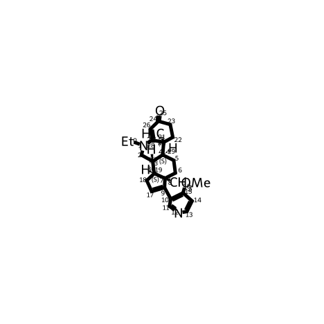 CCN1C[C@@H]2[C@H](CC[C@]3(C)C(c4cnccc4OC)=CC[C@@H]23)[C@@]2(C)CCC(=O)C=C12